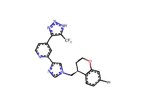 CC(C)c1ccc2c(c1)OCC[C@@H]2Cn1cnc(-c2cc(-c3nn[nH]c3C(F)(F)F)ccn2)c1